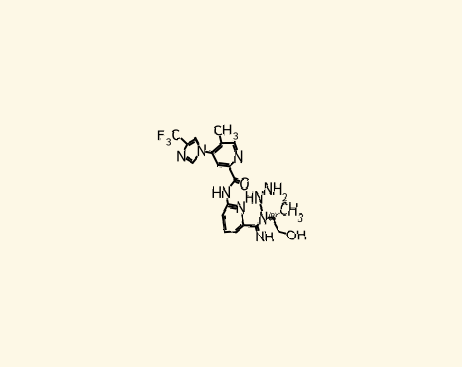 Cc1cnc(C(=O)Nc2cccc(C(=N)N(NN)[C@H](C)CO)n2)cc1-n1cnc(C(F)(F)F)c1